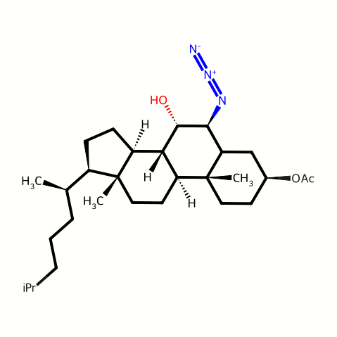 CC(=O)O[C@H]1CC[C@@]2(C)C(C1)[C@H](N=[N+]=[N-])[C@@H](O)[C@H]1[C@@H]3CC[C@H]([C@H](C)CCCC(C)C)[C@@]3(C)CC[C@@H]12